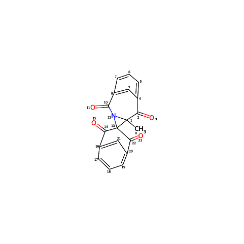 CC12C(=O)c3cccc(c3)C(=O)N1C21C(=O)c2cccc(c2)C1=O